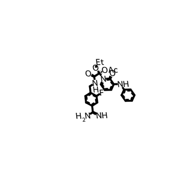 CCO[C@](OC(C)=O)(C(=O)NCc1ccc(C(=N)N)cc1F)n1cccc(Nc2ccccc2)c1=O